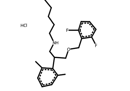 CCCCCNCC(COCc1c(F)cccc1F)c1c(C)cccc1C.Cl